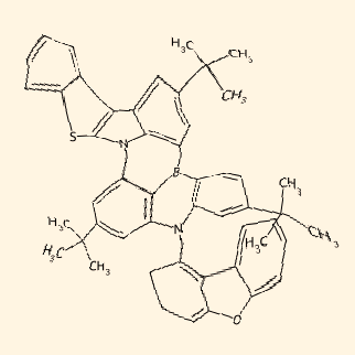 CC(C)(C)c1ccc2c(c1)N(C1=c3c(oc4ccccc34)=CCC1)c1cc(C(C)(C)C)cc3c1B2c1cc(C(C)(C)C)cc2c4c5ccccc5sc4n-3c12